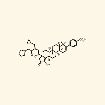 CC[C@@]12CC[C@@]3([C@@H](O)CN(CC4CC4)C(=O)CN4CCCC4)CC(=O)C(C(C)C)=C3[C@H]1CC[C@@H]1[C@@]3(C)CC=C(c4ccc(C(=O)O)cc4)C(C)(C)[C@H]3CC[C@]12C